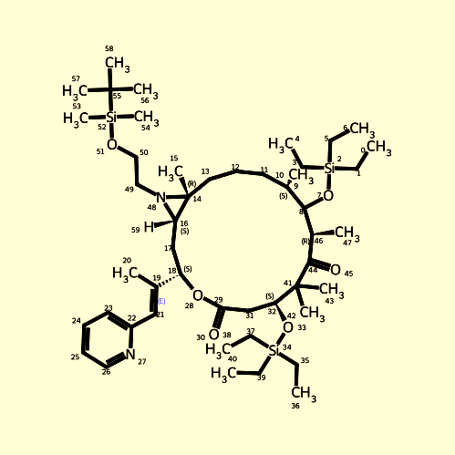 CC[Si](CC)(CC)OC1[C@@H](C)CCC[C@]2(C)[C@H](C[C@@H](/C(C)=C/c3ccccn3)OC(=O)C[C@H](O[Si](CC)(CC)CC)C(C)(C)C(=O)[C@@H]1C)N2CCO[Si](C)(C)C(C)(C)C